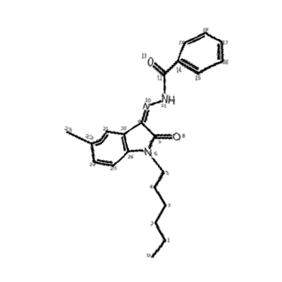 CCCCCCN1C(=O)C(=NNC(=O)c2ccccc2)c2cc(C)ccc21